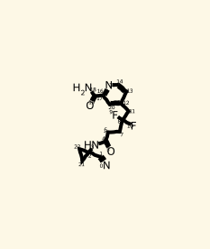 N#CC1(NC(=O)[CH]CC(F)(F)Cc2ccnc(C(N)=O)c2)CC1